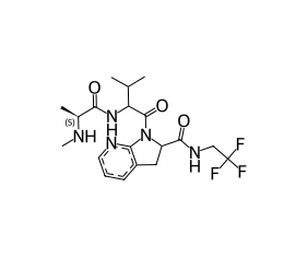 CN[C@@H](C)C(=O)NC(C(=O)N1c2ncccc2CC1C(=O)NCC(F)(F)F)C(C)C